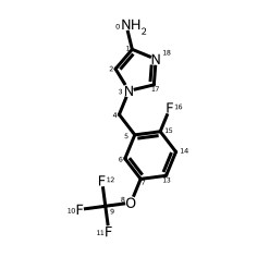 Nc1cn(Cc2cc(OC(F)(F)F)ccc2F)cn1